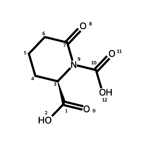 O=C(O)[C@H]1CCCC(=O)N1C(=O)O